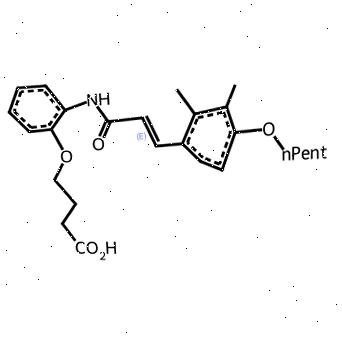 CCCCCOc1ccc(/C=C/C(=O)Nc2ccccc2OCCCC(=O)O)c(C)c1C